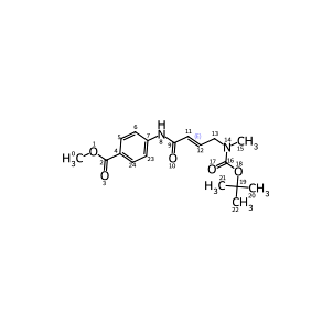 COC(=O)c1ccc(NC(=O)/C=C/CN(C)C(=O)OC(C)(C)C)cc1